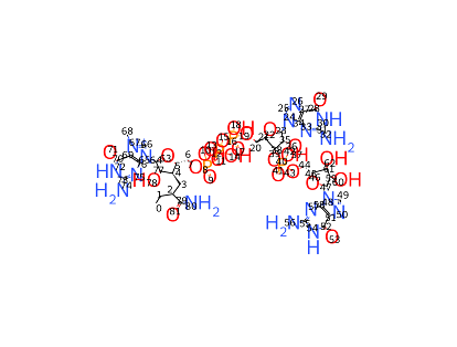 CCC(C[C@@H]1[C@@H](COP(=O)(O)OP(=O)(O)OP(=O)(O)OC[C@H]2O[C@@H](n3cnc4c(=O)[nH]c(N)nc43)[C@H](OC)[C@@H]2OP(=O)(O)OC[C@H]2O[C@@H](n3cnc4c(=O)[nH]c(N)nc43)[C@H](O)[C@@H]2O)OC(n2c[n+](C)c3c(=O)[nH]c(N)nc32)[C@@H]1O)C(N)=O